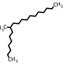 [CH2]CCCCCCCCCCC(C)CCCCCCC